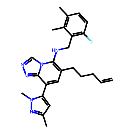 C=CCCCc1cc(-c2cc(C)nn2C)c2nncn2c1NCc1c(F)ccc(C)c1C